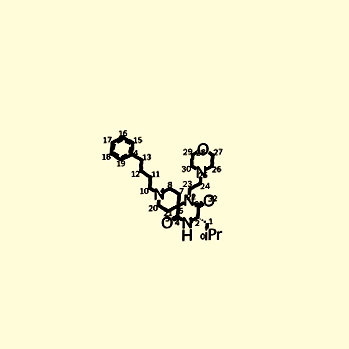 CC(C)C[C@@H]1NC(=O)C2(CCN(CCCCc3ccccc3)CC2)N(CCN2CCOCC2)C1=O